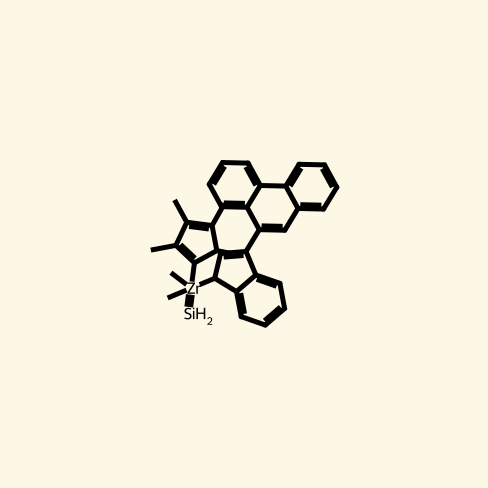 CC1=C(C)C(C)[C]([Zr]([CH3])([CH3])(=[SiH2])[CH]2C=C(c3cc4ccccc4c4ccccc34)c3ccccc32)=C1C